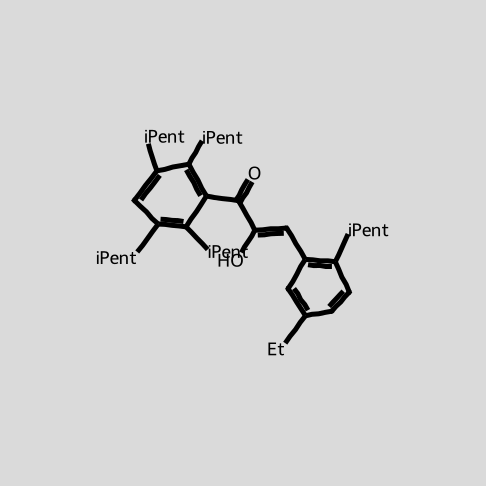 CCCC(C)c1ccc(CC)cc1C=C(O)C(=O)c1c(C(C)CCC)c(C(C)CCC)cc(C(C)CCC)c1C(C)CCC